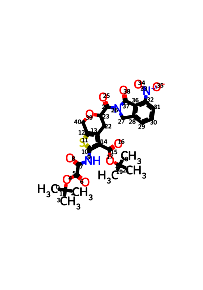 CC(C)(C)OC(=O)C(=O)Nc1sc2c(c1C(=O)OC(C)(C)C)CC(C(=O)N1Cc3cccc([N+](=O)[O-])c3C1=O)OC2